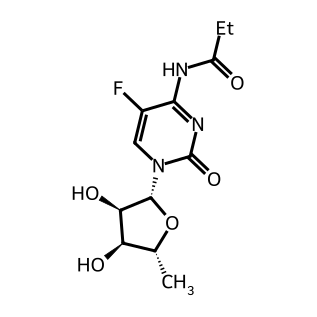 CCC(=O)Nc1nc(=O)n([C@@H]2O[C@H](C)[C@@H](O)[C@H]2O)cc1F